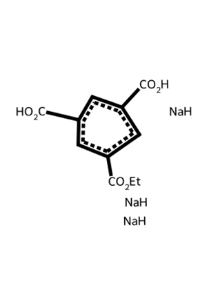 CCOC(=O)c1cc(C(=O)O)cc(C(=O)O)c1.[NaH].[NaH].[NaH]